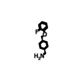 NC[C@H]1CC[C@@H](COc2ccccc2F)CC1